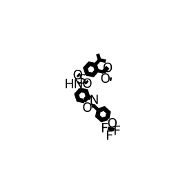 COC(=O)c1cc(S(=O)(=O)Nc2ccc3oc(-c4ccc(OC(F)(F)F)cc4)nc3c2)ccc1C(C)C